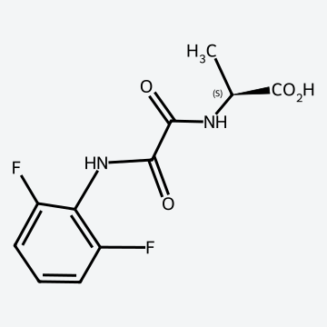 C[C@H](NC(=O)C(=O)Nc1c(F)cccc1F)C(=O)O